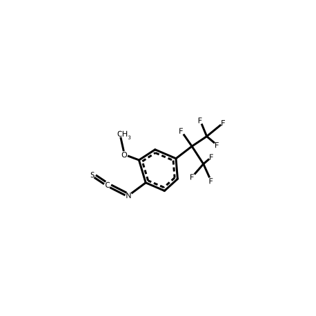 COc1cc(C(F)(C(F)(F)F)C(F)(F)F)ccc1N=C=S